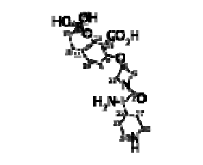 NC(C(=O)N1CC(Oc2ccc3c(c2C(=O)O)O[B-](O)(O)CC3)C1)C1CCNCC1